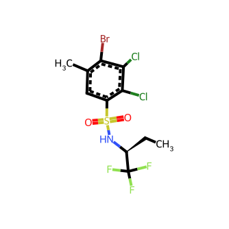 CC[C@H](NS(=O)(=O)c1cc(C)c(Br)c(Cl)c1Cl)C(F)(F)F